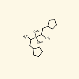 CO[Si](OC)(C(C)CC1CCCC1)C(C)CC1CCCC1